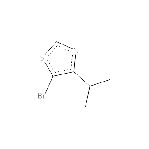 CC(C)c1ncsc1Br